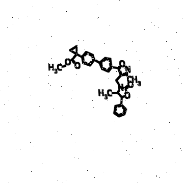 CCOC(=O)C1(c2ccc(-c3ccc(-c4onc(C)c4CN4C(=O)OC(c5ccccc5)C4C)cc3)cc2)CC1